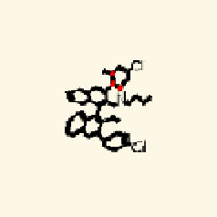 CCCCN(CCCC)Cc1c(-c2ccc(Cl)cc2)cc2ccccc2c1-c1c(CC)c(-c2ccc(Cl)cc2)cc2ccccc12